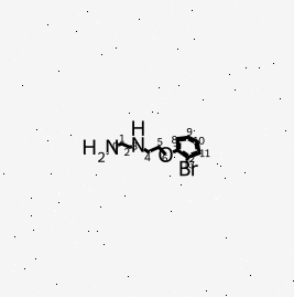 NCCNCCOc1ccccc1Br